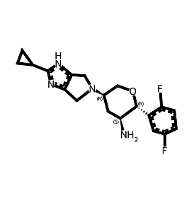 N[C@H]1C[C@@H](N2Cc3nc(C4CC4)[nH]c3C2)CO[C@@H]1c1cc(F)ccc1F